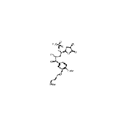 COCCCOc1cc(C(=O)C(CC(OS(C)(=O)=O)C2CC(C(C)C)C(=O)O2)C(C)C)ccc1OC